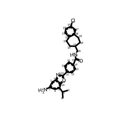 CC(C)c1cc(N)cc2nc(-c3ccc(C(=O)NCC4CCc5ccc(Cl)cc5CC4)cc3)oc12